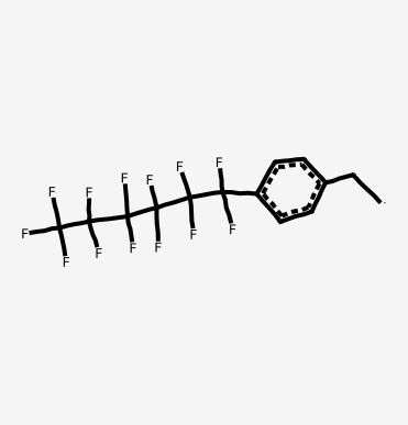 [CH2]Cc1ccc(C(F)(F)C(F)(F)C(F)(F)C(F)(F)C(F)(F)C(F)(F)F)cc1